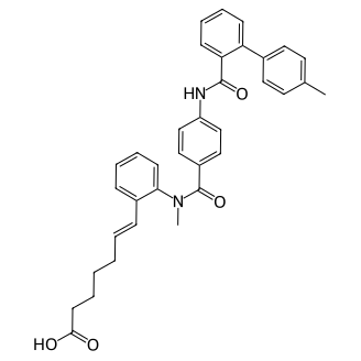 Cc1ccc(-c2ccccc2C(=O)Nc2ccc(C(=O)N(C)c3ccccc3C=CCCCCC(=O)O)cc2)cc1